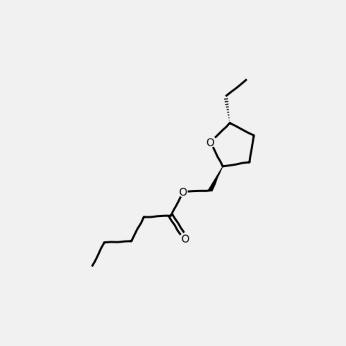 CCCCC(=O)OC[C@@H]1CC[C@@H](CC)O1